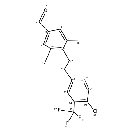 Cc1cc(C=O)cc(C)c1CCc1cc(C(F)(F)F)c(Cl)cn1